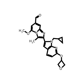 COc1cc(C=O)cc2nc(-c3cc4ccc(OC5COC5)nc4n3CC3CC3)c(C)n12